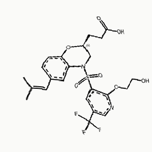 CC(C)=Cc1ccc2c(c1)N(S(=O)(=O)c1cc(C(F)(F)F)cnc1OCCO)C[C@H](CCC(=O)O)O2